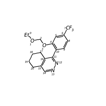 CCOCOc1cc(C(F)(F)F)ccc1-c1nncc2c1CCCC2